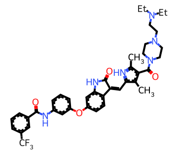 CCN(CC)CCN1CCN(C(=O)c2c(C)[nH]c(C=C3C(=O)Nc4cc(Oc5cccc(NC(=O)c6cccc(C(F)(F)F)c6)c5)ccc43)c2C)CC1